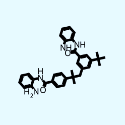 CC(C)(C)c1cc(CC(C)(C)c2ccc(C(=O)Nc3ccccc3N)cc2)cc(C(=O)Nc2ccccc2N)c1